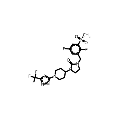 CS(=O)(=O)c1cc(F)cc(CN2CCN(C3CCN(c4nnc(C(F)(F)F)s4)CC3)C2=O)c1F